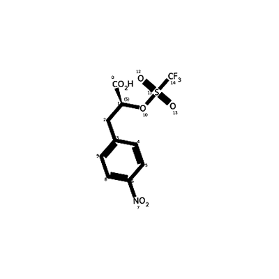 O=C(O)[C@H](Cc1ccc([N+](=O)[O-])cc1)OS(=O)(=O)C(F)(F)F